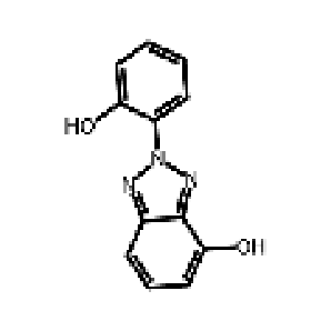 Oc1ccccc1-n1nc2cccc(O)c2n1